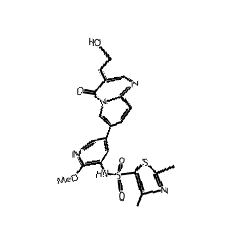 COc1ncc(-c2ccc3ncc(CCO)c(=O)n3c2)cc1NS(=O)(=O)c1sc(C)nc1C